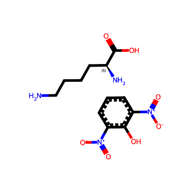 NCCCC[C@H](N)C(=O)O.O=[N+]([O-])c1cccc([N+](=O)[O-])c1O